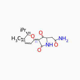 CC(C)[C@H]1O/C(=C2/C(=O)NC(CC(N)=O)C2=O)C=C[C@H]1C